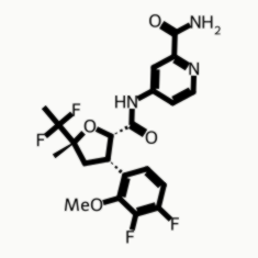 COc1c([C@@H]2C[C@](C)(C(C)(F)F)O[C@@H]2C(=O)Nc2ccnc(C(N)=O)c2)ccc(F)c1F